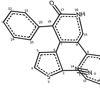 N#Cc1sccc1-c1c(-c2ccccn2)c[nH]c(=O)c1-c1ccccc1